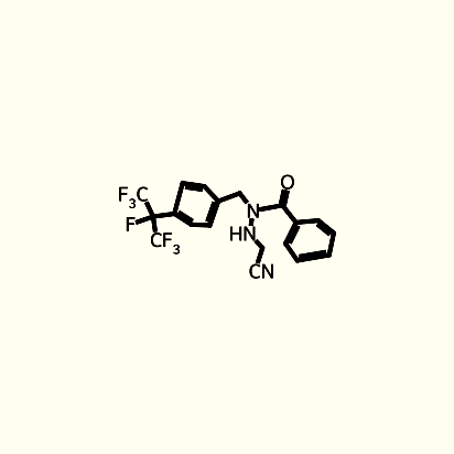 N#CCNN(Cc1ccc(C(F)(C(F)(F)F)C(F)(F)F)cc1)C(=O)c1ccccc1